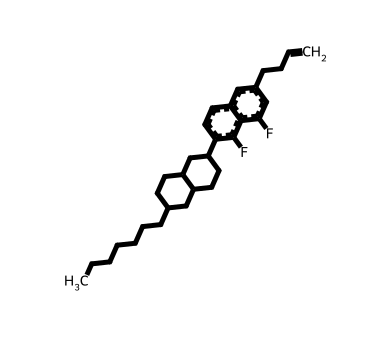 C=CCCc1cc(F)c2c(F)c(C3CCC4CC(CCCCCCC)CCC4C3)ccc2c1